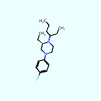 CCCC(CC)N1CCN(c2ccc(F)cc2)C[C@H]1CC